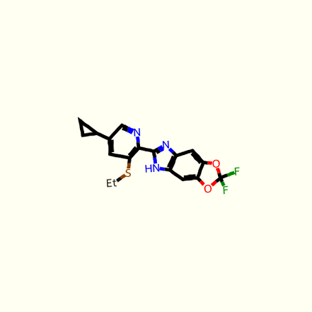 CCSc1cc(C2CC2)cnc1-c1nc2cc3c(cc2[nH]1)OC(F)(F)O3